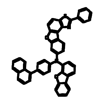 c1ccc(-c2nc3c(ccc4oc5cc(N(c6ccc(-c7cccc8ccccc78)cc6)c6cccc7c6oc6ccccc67)ccc5c43)s2)cc1